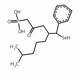 CC(C)CCCC(CC(=O)CP(=O)(O)O)C([SeH])c1ccccc1